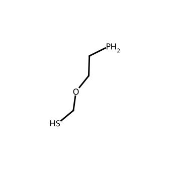 PCCOCS